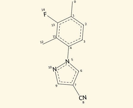 Cc1ccc(-n2cc(C#N)cn2)c(C)c1F